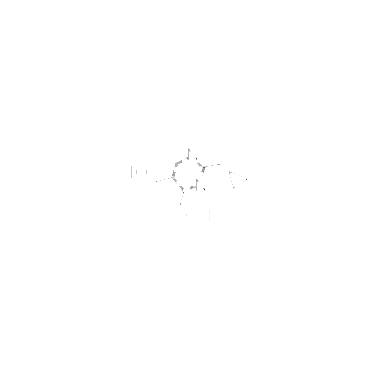 OCc1cnc(CC2CC2)nc1CO